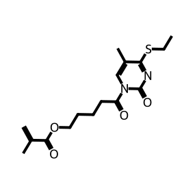 C=C(C)C(=O)OCCCCC(=O)n1cc(C)c(SCC)nc1=O